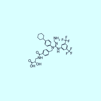 NC/N=C(/Nc1cc(C(F)(F)F)cc(C(F)(F)F)c1)N(Cc1ccc(C(=O)NC[C@@H](O)C(=O)O)cc1)c1ccc(C2CCCCC2)cc1